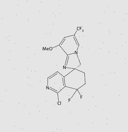 COC1=CC(C(F)(F)F)=CN2C[C@@]3(CCC(F)(F)c4c3ccnc4Cl)N=C12